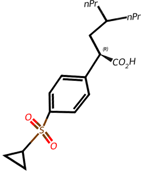 CCCC(CCC)C[C@@H](C(=O)O)c1ccc(S(=O)(=O)C2CC2)cc1